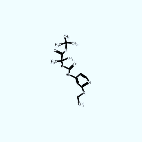 CCOc1cc(NC(=O)NC(C)(C)C(=O)OC(C)(C)C)ccn1